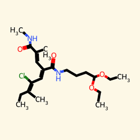 CCOC(CCCNC(=O)C(/C=C(\C)C(=O)NC)=C/C(Cl)=C(\C)CC)OCC